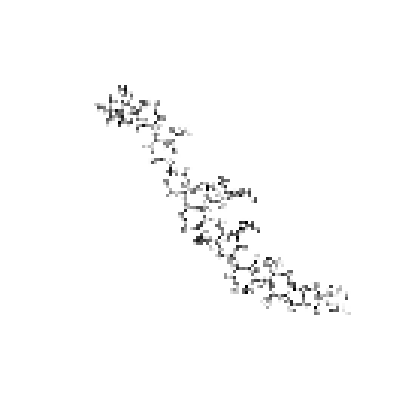 C[C@@H]1CC(N2CCN(c3ccc(Nc4nc(-c5ccnc(N6CCn7c(cc8c7CC(C)(C)C8)C6=O)c5CO)cn(C)c4=O)cc3C=CC(N)=O)[C@@H](C)C2)CCN1c1ccnc(C(C)(C)C(F)(F)F)c1